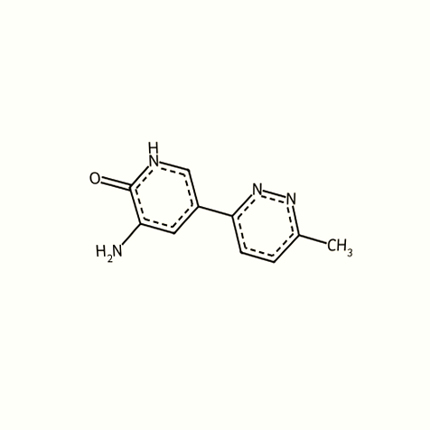 Cc1ccc(-c2c[nH]c(=O)c(N)c2)nn1